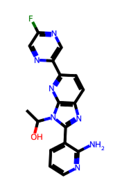 CC(O)n1c(-c2cccnc2N)nc2ccc(-c3cnc(F)cn3)nc21